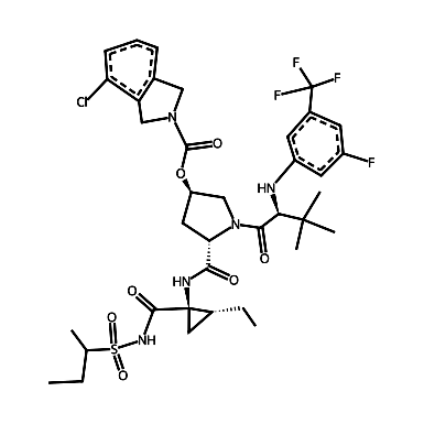 CCC(C)S(=O)(=O)NC(=O)[C@@]1(NC(=O)[C@@H]2C[C@@H](OC(=O)N3Cc4cccc(Cl)c4C3)CN2C(=O)[C@@H](Nc2cc(F)cc(C(F)(F)F)c2)C(C)(C)C)C[C@H]1CC